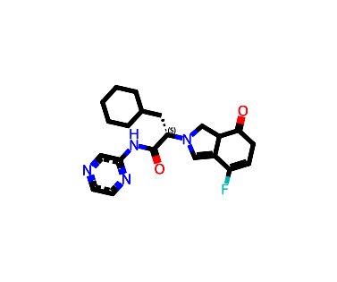 O=C1CC=C(F)C2=CN([C@@H](CC3CCCCC3)C(=O)Nc3cnccn3)CC12